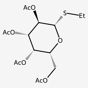 CCS[C@@H]1O[C@H](COC(C)=O)[C@H](OC(C)=O)[C@H](OC(C)=O)[C@H]1OC(C)=O